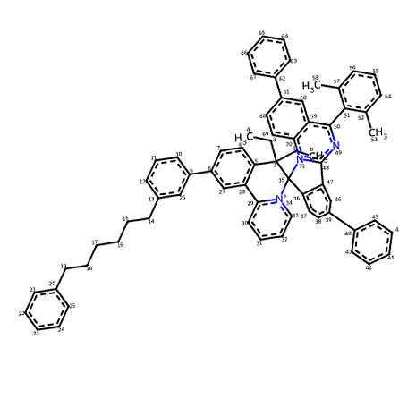 CCC1(CC)c2ccc(-c3cccc(CCCCCCc4ccccc4)c3)cc2-c2cccc[n+]2C12c1ccc(-c3ccccc3)cc1-c1nc(-c3c(C)cccc3C)c3cc(-c4ccccc4)ccc3[n+]12